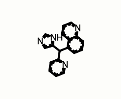 c1ccc(C(c2cnc[nH]2)c2cccc3ncccc23)nc1